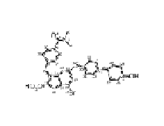 CN(C)C(=O)c1ccc(Cn2c(C(=O)O)cc3c(Br)cc(Sc4ccc(-c5ccc(O)cc5)cc4)cc32)cc1